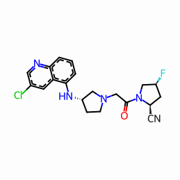 N#C[C@@H]1C[C@H](F)CN1C(=O)CN1CC[C@H](Nc2cccc3ncc(Cl)cc23)C1